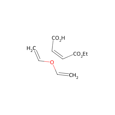 C=COC=C.CCOC(=O)/C=C\C(=O)O